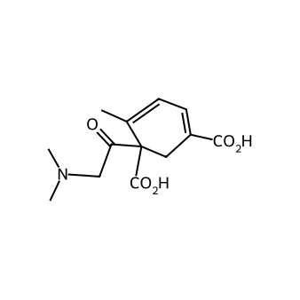 CC1=CC=C(C(=O)O)CC1(C(=O)O)C(=O)CN(C)C